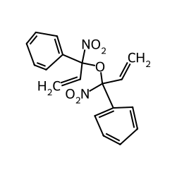 C=CC(OC(C=C)(c1ccccc1)[N+](=O)[O-])(c1ccccc1)[N+](=O)[O-]